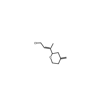 C=C1CCOC(C(C)=CCCl)C1